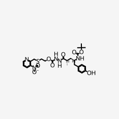 C[C@@H](C[C@H](Cc1ccc(O)cc1)NC(=O)OC(C)(C)C)C(=O)NNC(=O)OCCSCc1ncccc1[N+](=O)[O-]